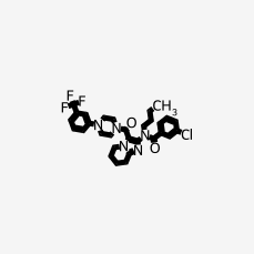 CCCCN(C(=O)c1cccc(Cl)c1)c1nc2n(c1C(=O)N1CCN(c3cccc(C(F)(F)F)c3)CC1)CCCC2